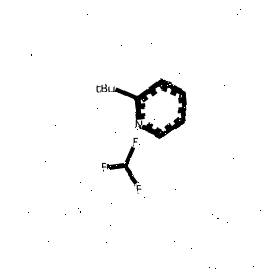 CC(C)(C)c1ccccn1.FC(F)F